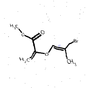 C=C(O/C=C(\C)Br)C(=O)OC